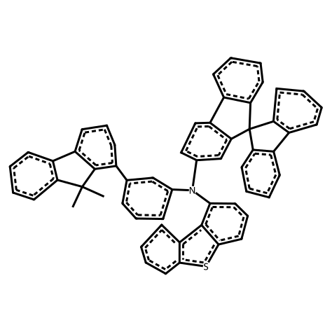 CC1(C)c2ccccc2-c2cccc(-c3cccc(N(c4ccc5c(c4)C4(c6ccccc6-c6ccccc64)c4ccccc4-5)c4cccc5sc6ccccc6c45)c3)c21